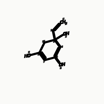 C=CC1(O)C=C(O)C=C(O)C1